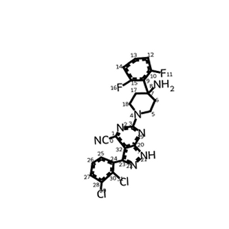 N#Cc1nc(N2CCC(N)(c3c(F)cccc3F)CC2)nc2[nH]nc(-c3cccc(Cl)c3Cl)c12